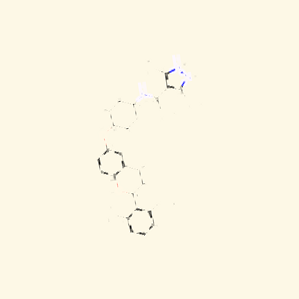 Cc1cccc(C)c1C1CCc2cc(OC3CCC(NC(C)c4c(C)n[nH]c4C)CC3)ccc2O1